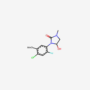 COc1cc(N2C(=O)N(C)CC2O)c(F)cc1Cl